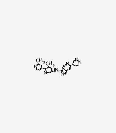 Cc1cc(-c2ncc(CNc3ncc4cc(-c5ccnnc5)ncn34)cc2C)ccn1